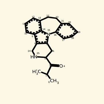 CC(C)C(=O)C1Cc2c(c3cccc4c3n2-c2ccccc2CC4)CN1